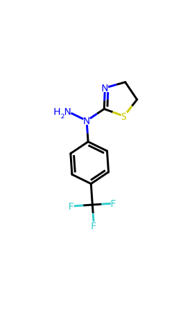 NN(C1=NCCS1)c1ccc(C(F)(F)F)cc1